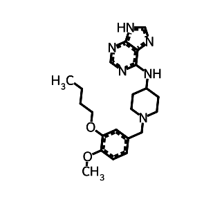 CCCCOc1cc(CN2CCC(Nc3ncnc4[nH]cnc34)CC2)ccc1OC